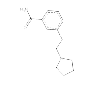 NC(=O)c1cccc(CCN2CCCC2)c1